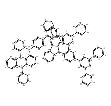 c1ccc(-c2ccc3c(c2)c2ccccc2n3-c2ccc(-c3cc(-c4ccccc4)nc(-c4ccccc4)n3)cc2-c2nc(-c3ccccc3)nc(-c3cccc(-c4ccc(N5c6ccccc6B6c7ccccc7N(c7ccccc7)c7cccc5c76)cc4)c3)n2)cc1